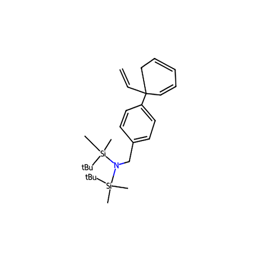 C=CC1(c2ccc(CN([Si](C)(C)C(C)(C)C)[Si](C)(C)C(C)(C)C)cc2)C=CC=CC1